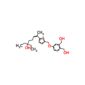 CCC(O)(CC)CC/C=C(/C)c1ccc(COc2ccc(CO)c(CO)c2)s1